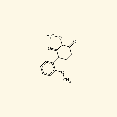 COc1ccccc1C1CCC(=O)N(OC)C1=O